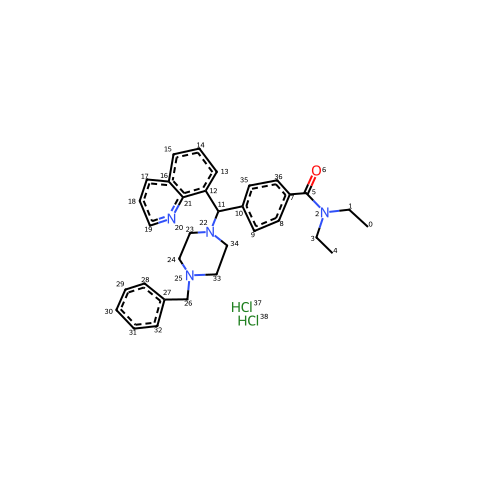 CCN(CC)C(=O)c1ccc(C(c2cccc3cccnc23)N2CCN(Cc3ccccc3)CC2)cc1.Cl.Cl